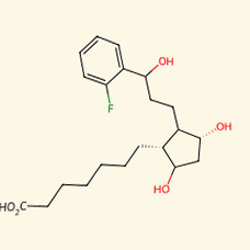 O=C(O)CCCCCC[C@H]1C(O)C[C@@H](O)C1CCC(O)c1ccccc1F